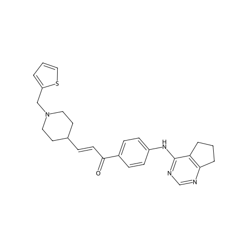 O=C(C=CC1CCN(Cc2cccs2)CC1)c1ccc(Nc2ncnc3c2CCC3)cc1